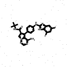 CC(C)(C)NC(=O)c1cn2ncnc(N)c2c1-c1ccc(Nc2nc3cc(F)cc(F)c3[nH]2)cc1